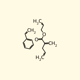 C=CCOC(=O)C(=C)CC=C.C=Cc1ccccc1